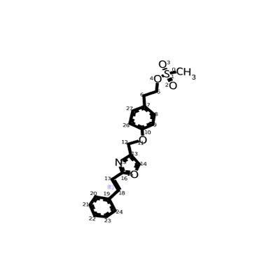 CS(=O)(=O)OCCc1ccc(OCc2coc(/C=C/c3ccccc3)n2)cc1